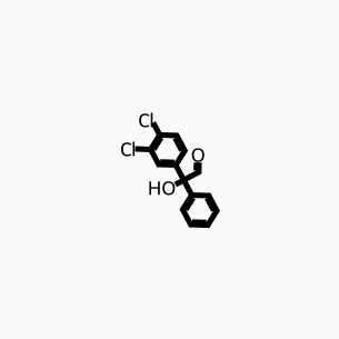 O=CC(O)(c1ccccc1)c1ccc(Cl)c(Cl)c1